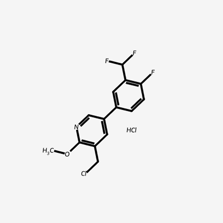 COc1ncc(-c2ccc(F)c(C(F)F)c2)cc1CCl.Cl